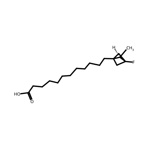 C[C@H]1C2(F)CC1(CCCCCCCCCCCC(=O)O)C2